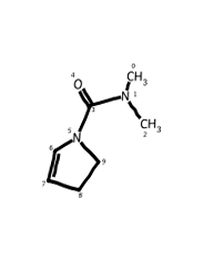 CN(C)C(=O)N1C=CCC1